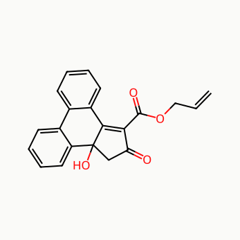 C=CCOC(=O)C1=C2c3ccccc3-c3ccccc3C2(O)CC1=O